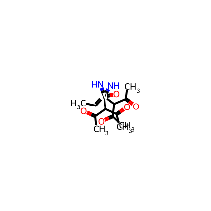 C[CH]=[V](=[NH])(=[NH])(=[O])([CH](C(C)=O)C(C)=O)[CH](C(C)=O)C(C)=O